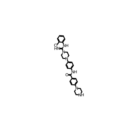 N=C(Nc1ccccc1Cl)N1CCN(c2ccc(NC(=O)c3ccc(N4CCNCC4)cc3)cc2)CC1